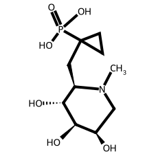 CN1C[C@@H](O)[C@@H](O)[C@H](O)[C@H]1CC1(P(=O)(O)O)CC1